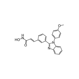 COc1ccc(-n2c(-c3cccc(C=CC(=O)NO)c3)nc3ccccc32)cc1